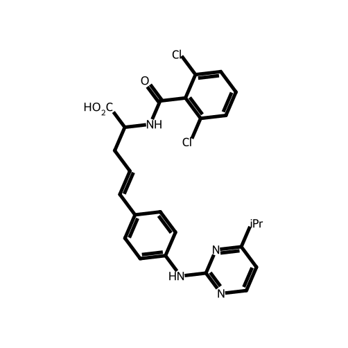 CC(C)c1ccnc(Nc2ccc(C=CCC(NC(=O)c3c(Cl)cccc3Cl)C(=O)O)cc2)n1